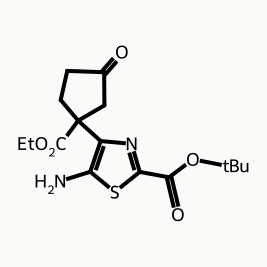 CCOC(=O)C1(c2nc(C(=O)OC(C)(C)C)sc2N)CCC(=O)C1